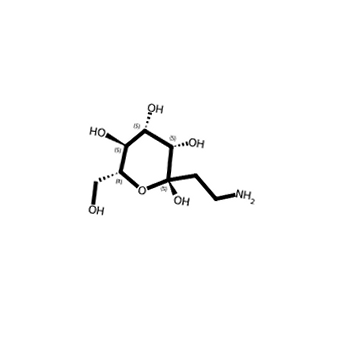 NCC[C@]1(O)O[C@H](CO)[C@@H](O)[C@H](O)[C@@H]1O